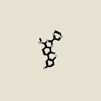 CNc1nc(-c2cnccn2)nc2c(F)c(-c3cc(F)ccc3F)ccc12